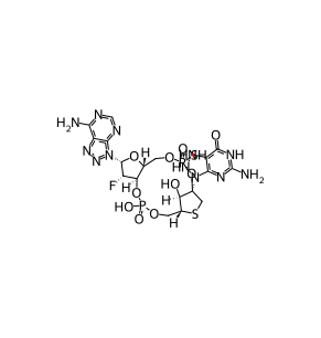 Nc1nc2c(c(=O)[nH]1)NNN2[C@@]12CS[C@H](COP(=O)(O)O[C@H]3[C@H](F)[C@H](n4nnc5c(N)ncnc54)O[C@@H]3COP(=O)(S)O1)[C@H]2O